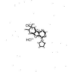 CC1N=c2oc3c(N4CCCC4)ncnc3c2=CC1(C)Cl.Cl